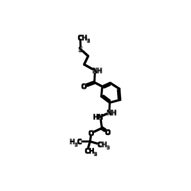 CSCCNC(=O)c1cccc(NNC(=O)OC(C)(C)C)c1